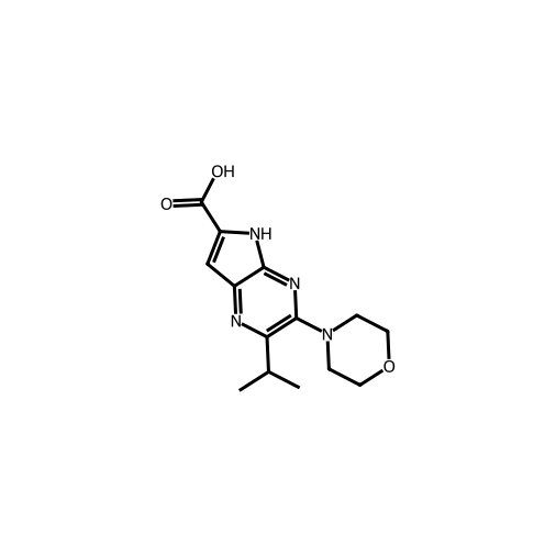 CC(C)c1nc2cc(C(=O)O)[nH]c2nc1N1CCOCC1